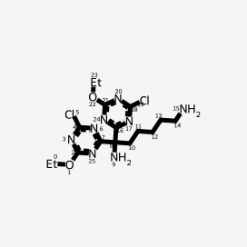 CCOc1nc(Cl)nc(C(N)(CCCCCN)c2nc(Cl)nc(OCC)n2)n1